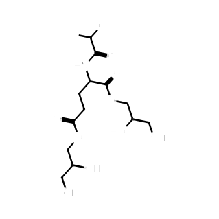 CC(C)C(=O)NC(CCC(=O)OCC(O)CO)C(=O)OCC(O)CO